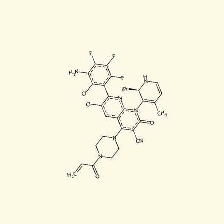 C=CC(=O)N1CCN(c2c(C#N)c(=O)n(C3=C(C)C=CN[C@@H]3C(C)C)c3nc(-c4c(F)c(F)c(F)c(N)c4Cl)c(Cl)cc23)CC1